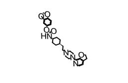 O=C(N[C@H]1CC[C@H](CCN2CCN(c3nccc4c3OCC4)CC2)CC1)Oc1ccc2c(c1)OCO2